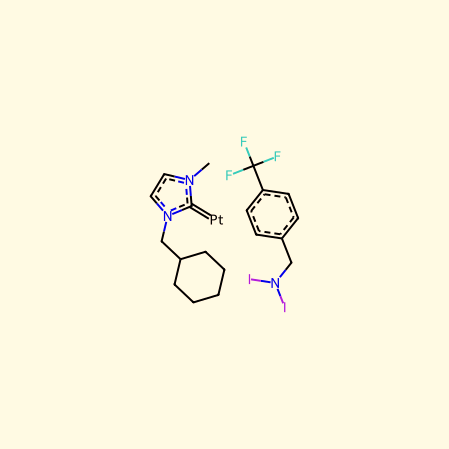 Cn1ccn(CC2CCCCC2)[c]1=[Pt].FC(F)(F)c1ccc(CN(I)I)cc1